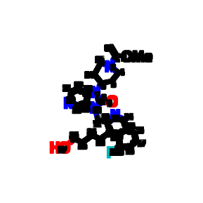 C=C(OC)N1CCC(n2c(=O)n(Cc3ncc4cccc(F)c4c3CCCCO)c3cnccc32)CC1